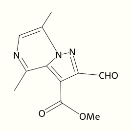 COC(=O)c1c(C=O)nn2c(C)cnc(C)c12